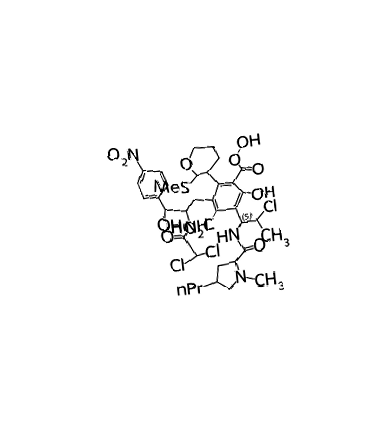 CCCC1CC(C(=O)N[C@@H](c2c(O)c(C(=O)OO)c(C3CCCOC3SC)c(CC(NC(=O)C(Cl)Cl)C(O)c3ccc([N+](=O)[O-])cc3)c2C(=O)O)C(C)Cl)N(C)C1